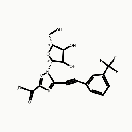 NC(=O)c1nc(C#Cc2cccc(C(F)(F)F)c2)n([C@@H]2O[C@H](CO)C(O)C2O)n1